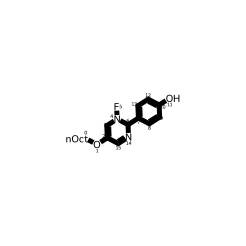 CCCCCCCCOC1=CN(F)C(c2ccc(O)cc2)N=C1